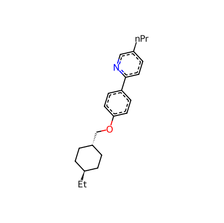 CCCc1ccc(-c2ccc(OC[C@H]3CC[C@H](CC)CC3)cc2)nc1